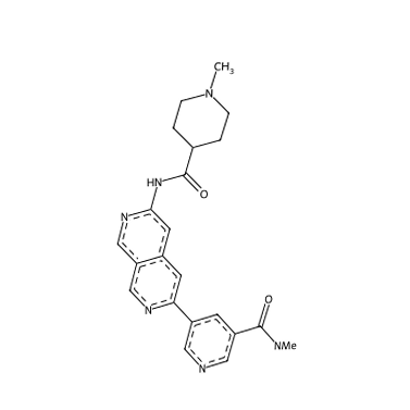 CNC(=O)c1cncc(-c2cc3cc(NC(=O)C4CCN(C)CC4)ncc3cn2)c1